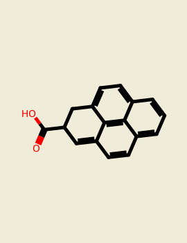 O=C(O)C1C=c2ccc3cccc4ccc(c2c43)C1